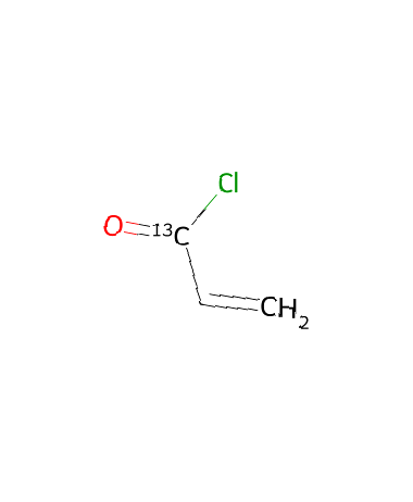 C=C[13C](=O)Cl